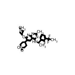 Cc1nc(N[C@H](C)c2cccc(C(C)(F)F)c2F)c2cc(C3CCS(=O)(=O)CC3)c(OC3CN(C)C3)nc2n1